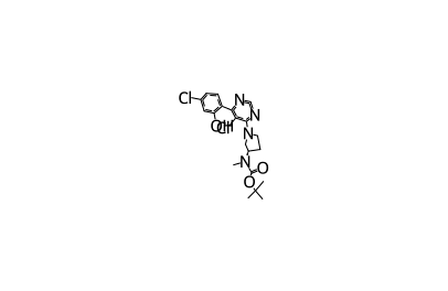 CN(C(=O)OC(C)(C)C)[C@@H]1CCN(c2ncnc(-c3ccc(Cl)cc3O)c2Cl)C1